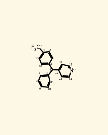 FC(F)(F)c1ccc(C(c2ccccc2)c2ccncc2)cc1